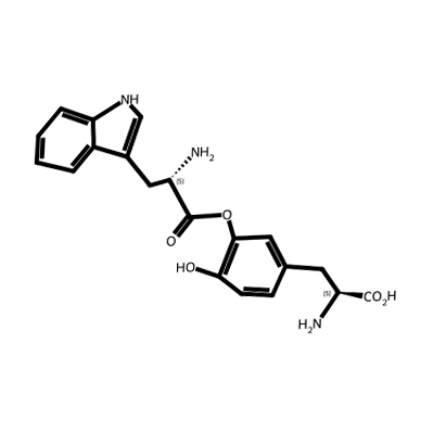 N[C@@H](Cc1ccc(O)c(OC(=O)[C@@H](N)Cc2c[nH]c3ccccc23)c1)C(=O)O